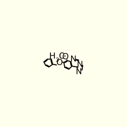 COc1c(OCc2ccccc2)ccc2c1N=CN1CCN=C21